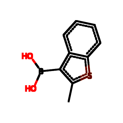 Cc1sc2ccccc2c1B(O)O